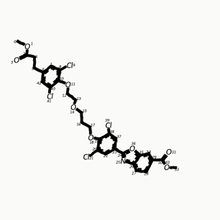 COC(=O)CCc1cc(Cl)c(OCCOCCCOc2c(Cl)cc(-c3nc4ccc(C(=O)OC)cc4o3)cc2Cl)c(Cl)c1